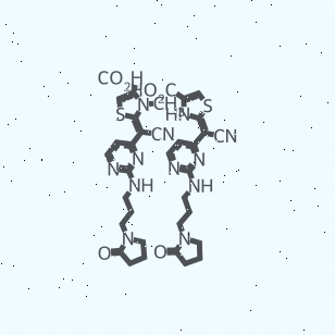 CN1C(C(=O)O)=CSC1=C(C#N)c1ccnc(NCCCN2CCCC2=O)n1.N#CC(=C1NC(C(=O)O)=CS1)c1ccnc(NCCCN2CCCC2=O)n1